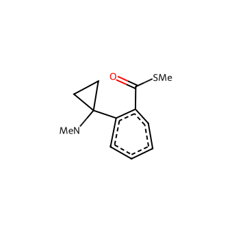 CNC1(c2ccccc2C(=O)SC)CC1